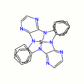 c1ccc(N2c3nccnc3N(c3ccccc3)[Si]23N(c2ccccc2)c2nccnc2N3c2ccccc2)cc1